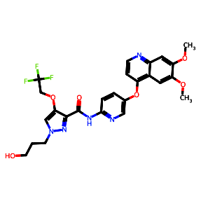 COc1cc2nccc(Oc3ccc(NC(=O)c4nn(CCCO)cc4OCC(F)(F)F)nc3)c2cc1OC